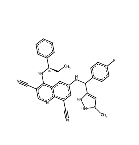 CC[C@@H](Nc1c(C#N)cnc2c(C#N)cc(NC(C3=CN(C)NN3)c3ccc(F)cc3)cc12)c1ccccc1